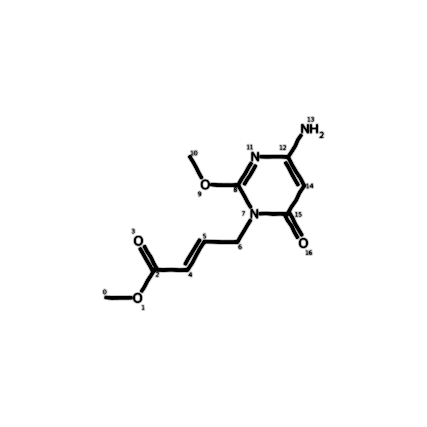 COC(=O)C=CCn1c(OC)nc(N)cc1=O